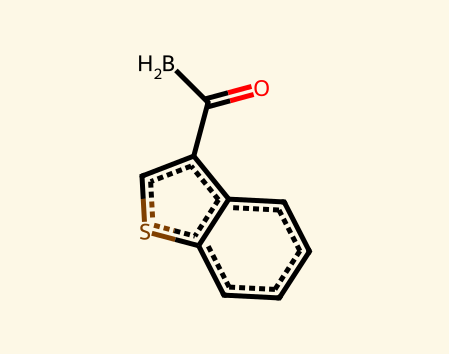 BC(=O)c1csc2ccccc12